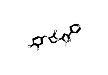 O=C1[C@@H](Cc2ccc(Cl)c(F)c2)CCN1c1cc(-c2ccncc2)n[nH]1